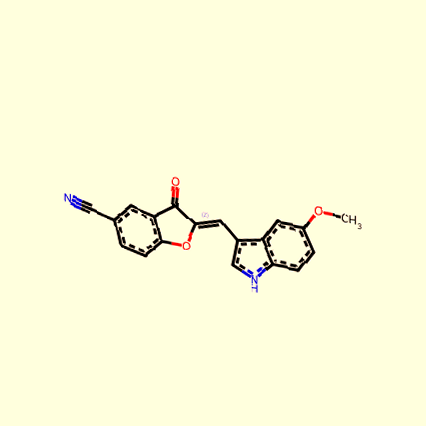 COc1ccc2[nH]cc(/C=C3\Oc4ccc(C#N)cc4C3=O)c2c1